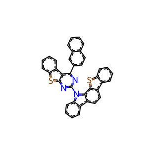 c1ccc2cc(-c3nc(-n4c5ccccc5c5ccc6c7ccccc7sc6c54)nc4sc5ccccc5c34)ccc2c1